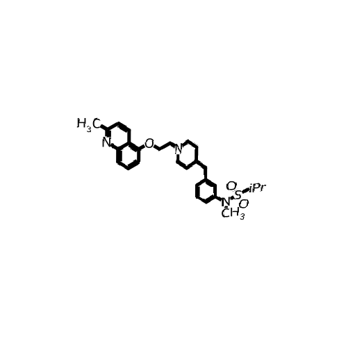 Cc1ccc2c(OCCN3CCC(Cc4cccc(N(C)S(=O)(=O)C(C)C)c4)CC3)cccc2n1